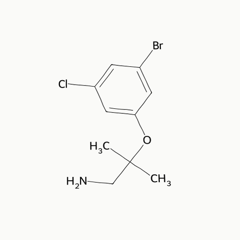 CC(C)(CN)Oc1cc(Cl)cc(Br)c1